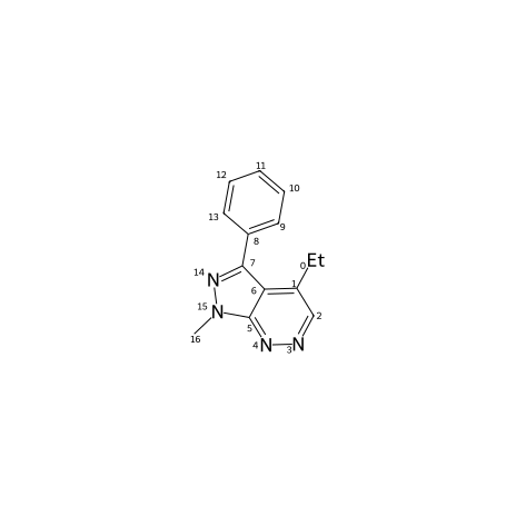 CCc1cnnc2c1c(-c1ccccc1)nn2C